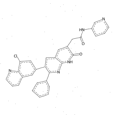 O=C(Cc1cc2cc(-c3cc(Cl)c4ncccc4c3)c(-c3ccccc3)nc2[nH]c1=O)Nc1cccnc1